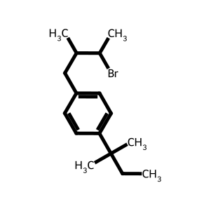 CCC(C)(C)c1ccc(CC(C)C(C)Br)cc1